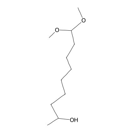 COC(CCCCCCC(C)O)OC